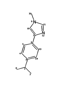 CC(C)c1ccc(-c2cn(C)cn2)cc1